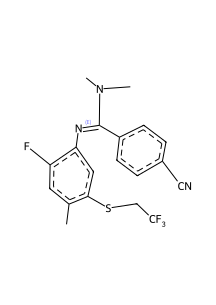 Cc1cc(F)c(/N=C(\c2ccc(C#N)cc2)N(C)C)cc1SCC(F)(F)F